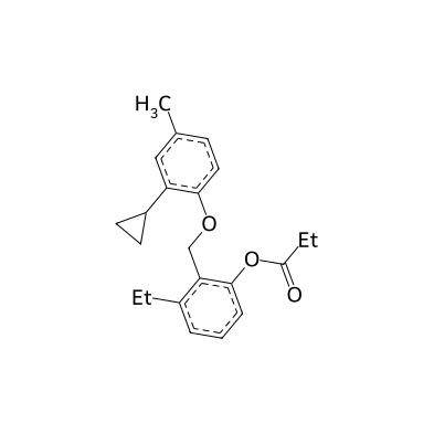 CCC(=O)Oc1cccc(CC)c1COc1ccc(C)cc1C1CC1